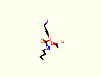 CC(=O)O.CCCCNC(=O)OC#CCI